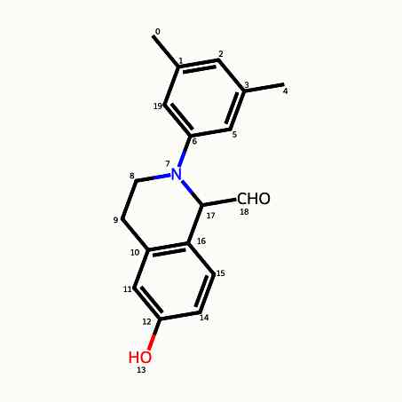 Cc1cc(C)cc(N2CCc3cc(O)ccc3C2C=O)c1